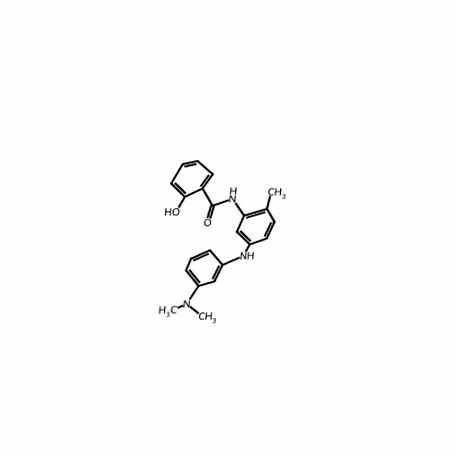 Cc1ccc(Nc2cccc(N(C)C)c2)cc1NC(=O)c1ccccc1O